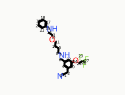 N#CCc1cc(CNCCCCOCCNc2ccccc2)cc(OCC(F)(F)F)c1